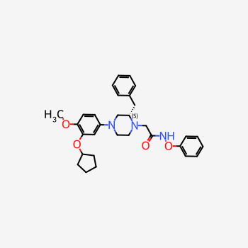 COc1ccc(N2CCN(CC(=O)NOc3ccccc3)[C@@H](Cc3ccccc3)C2)cc1OC1CCCC1